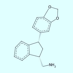 NC[C@H]1C[C@@H](c2ccc3c(c2)OCO3)c2ccccc21